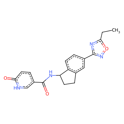 CCc1nc(-c2ccc3c(c2)CCC3NC(=O)c2ccc(=O)[nH]c2)no1